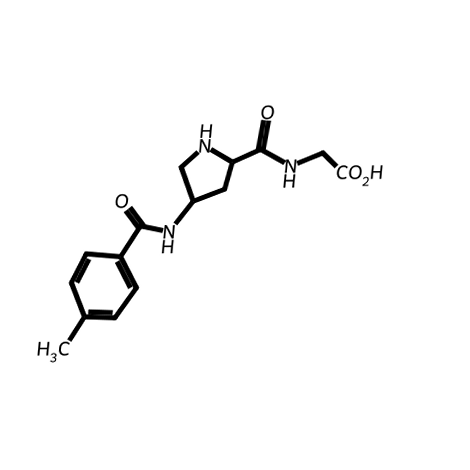 Cc1ccc(C(=O)NC2CNC(C(=O)NCC(=O)O)C2)cc1